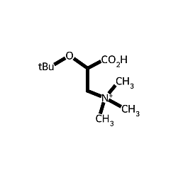 CC(C)(C)OC(C[N+](C)(C)C)C(=O)O